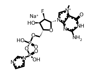 C[n+]1cn([C@@H]2O[C@H](COP(=O)(O)OP(=O)(O)n3ccnc3)[C@@H](O)[C@H]2F)c2nc(N)[nH]c(=O)c21.[Na+]